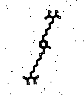 CCC(=O)C(CCCCCCOOc1ccc(CCCCCCC(C(=O)CC)C(=O)CC)cc1C)C(=O)CC